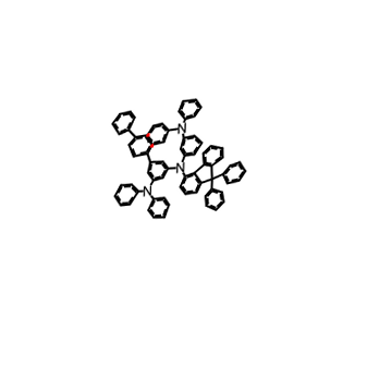 c1ccc(-c2ccc(-c3cc(N(c4ccccc4)c4ccccc4)cc(N(c4cccc(N(c5ccccc5)c5ccccc5)c4)c4cccc5c4-c4ccccc4C5(c4ccccc4)c4ccccc4)c3)cc2)cc1